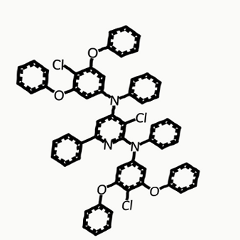 Clc1c(Oc2ccccc2)cc(N(c2ccccc2)c2cc(-c3ccccc3)nc(N(c3ccccc3)c3cc(Oc4ccccc4)c(Cl)c(Oc4ccccc4)c3)c2Cl)cc1Oc1ccccc1